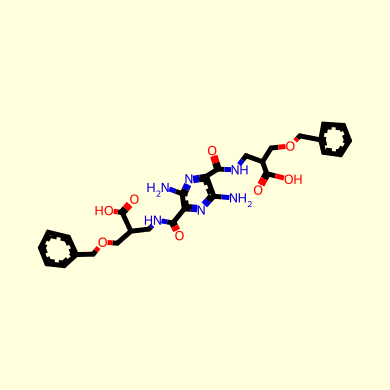 Nc1nc(C(=O)NCC(COCc2ccccc2)C(=O)O)c(N)nc1C(=O)NCC(COCc1ccccc1)C(=O)O